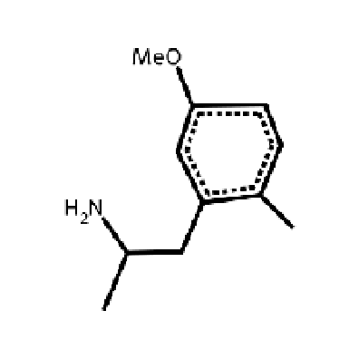 COc1ccc(C)c(CC(C)N)c1